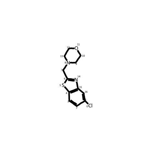 Clc1ccc2sc(CN3CCOCC3)nc2c1